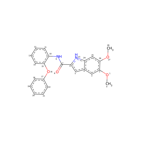 COc1cc2cc(C(=O)Nc3ccccc3Oc3ccccc3)[nH]c2cc1OC